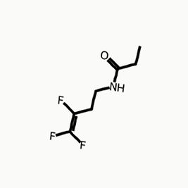 CCC(=O)NCCC(F)=C(F)F